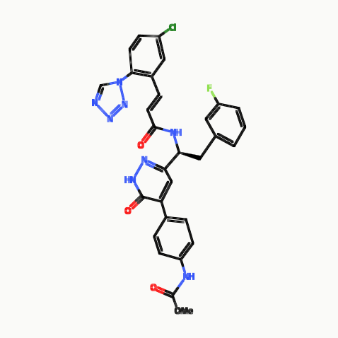 COC(=O)Nc1ccc(-c2cc([C@H](Cc3cccc(F)c3)NC(=O)/C=C/c3cc(Cl)ccc3-n3cnnn3)n[nH]c2=O)cc1